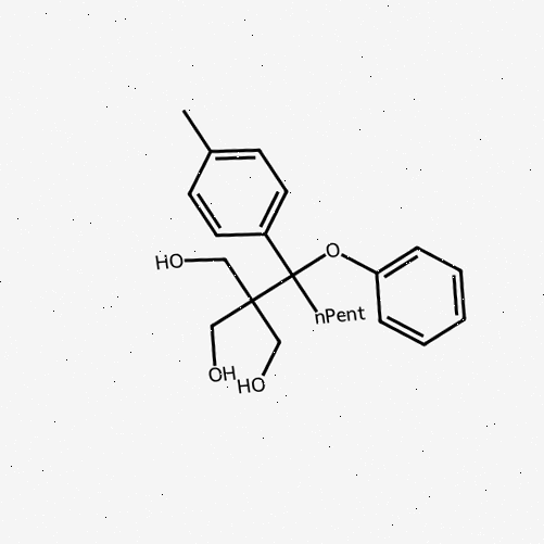 CCCCCC(Oc1ccccc1)(c1ccc(C)cc1)C(CO)(CO)CO